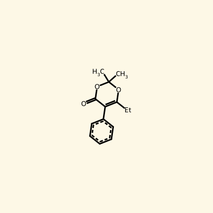 CCC1=C(c2ccccc2)C(=O)OC(C)(C)O1